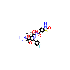 C[C@]1(C(N)=O)COc2c1cc(C(O)(CNC(=O)c1ccc3[nH]c(=O)sc3c1)C(F)(F)F)nc2-c1ccc(F)cc1